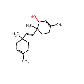 CC1=CCC(C)(C=CC2(C)CCC(C)=CC2O)CC1